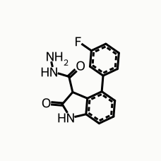 NNC(=O)C1C(=O)Nc2cccc(-c3cccc(F)c3)c21